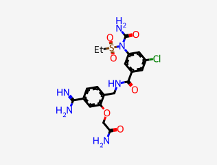 CCS(=O)(=O)N(C(N)=O)c1cc(Cl)cc(C(=O)NCc2ccc(C(=N)N)cc2OCC(N)=O)c1